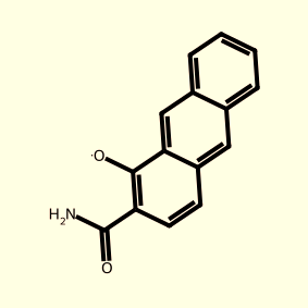 NC(=O)c1ccc2cc3ccccc3cc2c1[O]